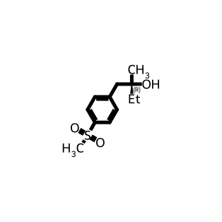 CC[C@@](C)(O)Cc1ccc(S(C)(=O)=O)cc1